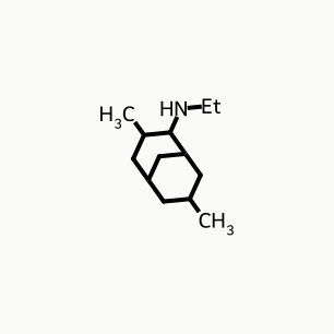 CCNC1C(C)CC2CC(C)CC1C2